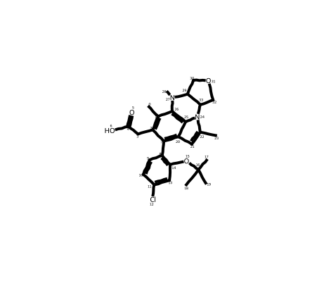 Cc1c(CC(=O)O)c(-c2ccc(Cl)cc2OC(C)(C)C)c2cc(C)n3c2c1N(C)C1COCC13